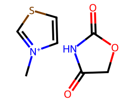 C[n+]1ccsc1.O=C1COC(=O)N1